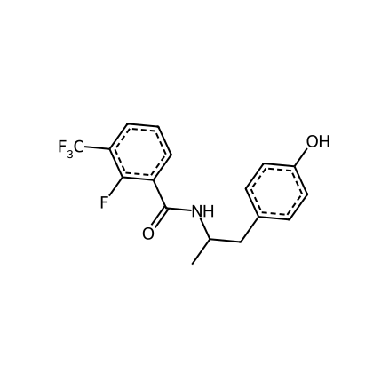 CC(Cc1ccc(O)cc1)NC(=O)c1cccc(C(F)(F)F)c1F